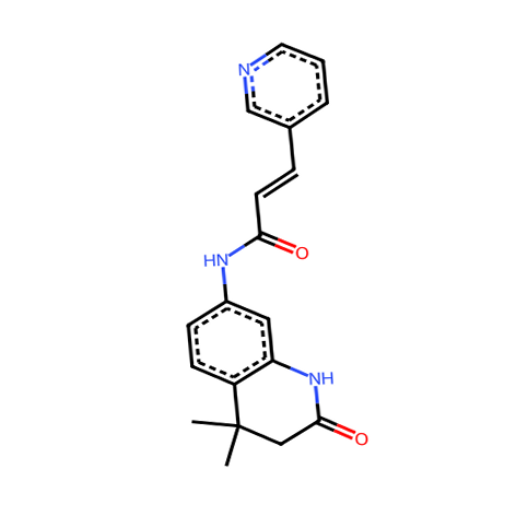 CC1(C)CC(=O)Nc2cc(NC(=O)C=Cc3cccnc3)ccc21